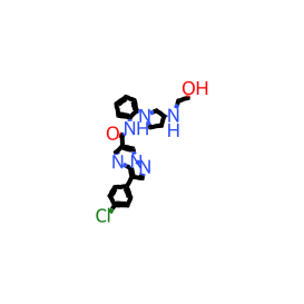 O=C(Nc1ccccc1N1CC[C@@H](NCCO)C1)c1cnc2c(-c3ccc(Cl)cc3)cnn2c1